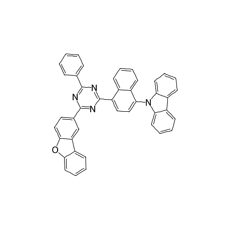 c1ccc(-c2nc(-c3ccc4oc5ccccc5c4c3)nc(-c3ccc(-n4c5ccccc5c5ccccc54)c4ccccc34)n2)cc1